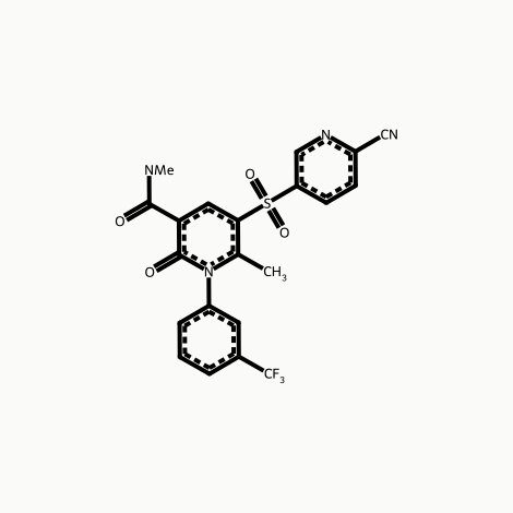 CNC(=O)c1cc(S(=O)(=O)c2ccc(C#N)nc2)c(C)n(-c2cccc(C(F)(F)F)c2)c1=O